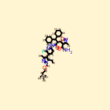 CCc1c(-c2ccc(NC(=O)C(c3onc(C)c3C(N)=O)C(C3CCCCC3)C3CCCCC3)nc2F)c(C)nn1COCC[Si](C)(C)C